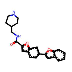 O=C(NCC1CCNCC1)c1cc2ccc(-c3cc4ccccc4o3)cc2o1